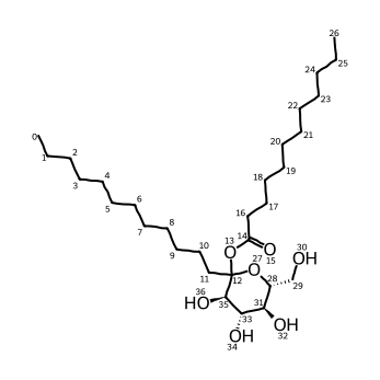 CCCCCCCCCCCCC1(OC(=O)CCCCCCCCCCC)O[C@H](CO)[C@@H](O)[C@H](O)[C@H]1O